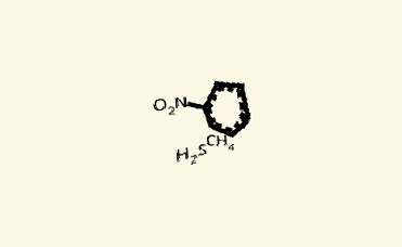 C.O=[N+]([O-])c1ccccc1.S